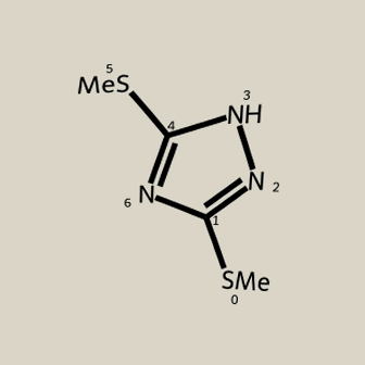 CSc1n[nH]c(SC)n1